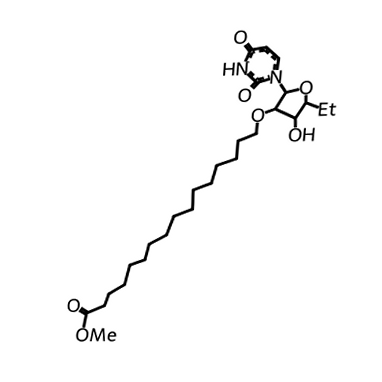 CCC1OC(n2ccc(=O)[nH]c2=O)C(OCCCCCCCCCCCCCCCC(=O)OC)C1O